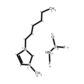 CCCCCCN1C=CN(C)C1.[O-][S+](F)NF